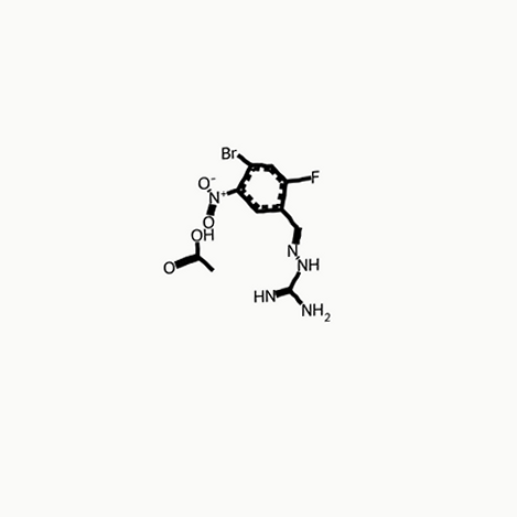 CC(=O)O.N=C(N)NN=Cc1cc([N+](=O)[O-])c(Br)cc1F